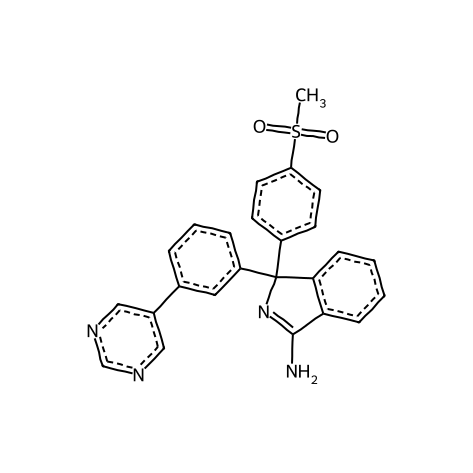 CS(=O)(=O)c1ccc(C2(c3cccc(-c4cncnc4)c3)N=C(N)c3ccccc32)cc1